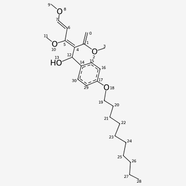 C=C(OC)/C(=C(\C=C\OC)OC)C(O)c1ccc(OCCCCCCCCCC)cc1